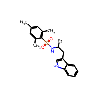 CCC(Cc1c[nH]c2ccccc12)NS(=O)(=O)c1c(C)cc(C)cc1C